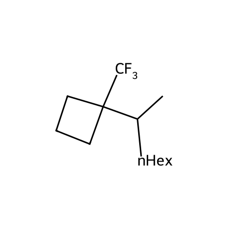 CCCCCCC(C)C1(C(F)(F)F)CCC1